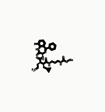 CC(C)(C)OC(=O)NCCSNC(=O)[C@@H](CC1CC1)[C@@H](CCC(F)(F)F)C(=O)N[C@H]1N=C(c2ccccc2)c2cccc(F)c2NC1=O